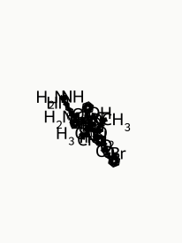 CC(C)CNC(=O)[C@H](Cc1ccc(OC(=O)OCc2ccccc2Br)cc1)N(C(=O)[C@@H](N)C(C)C)C(=O)[C@@H](NC(=O)[C@@H]1CCCN1C(=O)[C@@H](N)CCCNC(=N)N)C(Cc1ccccc1)C(=O)O